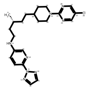 C[C@@H](CCNc1ccc(-n2nccn2)nc1)CCC1CCN(c2ncc(Cl)cn2)CC1